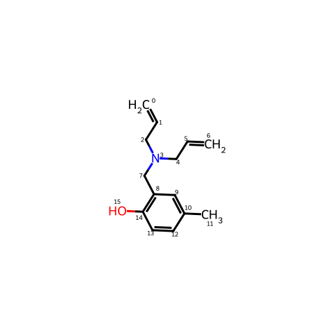 C=CCN(CC=C)Cc1cc(C)ccc1O